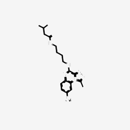 Cc1nnc2c(NCCCCNC(=O)CC(C)C)nc3ccc([N+](=O)[O-])cc3n12